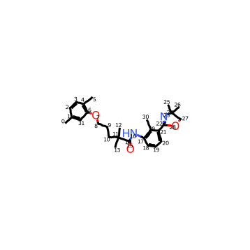 Cc1ccc(C)c(OCCCC(C)(C)C(=O)Nc2cccc(C3=NC(C)(C)CO3)c2C)c1